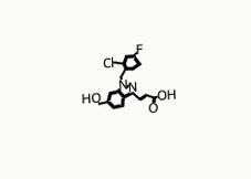 O=C(O)C=Cc1nn(Cc2ccc(F)cc2Cl)c2cc(CO)ccc12